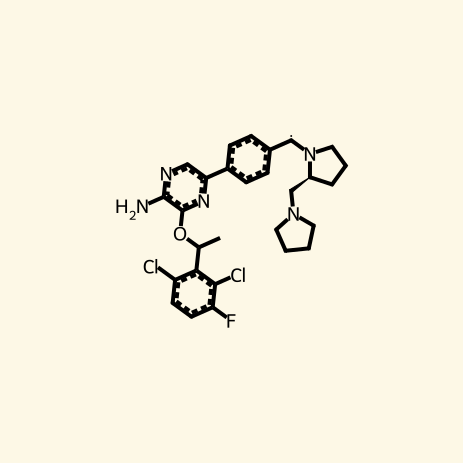 CC(Oc1nc(-c2ccc([CH]N3CCC[C@H]3CN3CCCC3)cc2)cnc1N)c1c(Cl)ccc(F)c1Cl